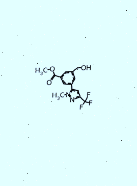 COC(=O)c1cc(CO)cc(-c2cc(C(F)(F)F)nn2C)c1